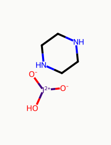 C1CNCCN1.[O-][I+2]([O-])O